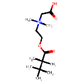 CC(C)(C)C(C)(C)C(=O)OCC[N+](C)(C)CC(=O)O